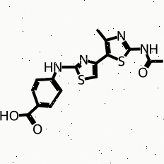 CC(=O)Nc1nc(C)c(-c2csc(Nc3ccc(C(=O)O)cc3)n2)s1